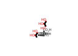 CC(=O)O.CC(=O)O.CC(=O)O.CC(=O)O.CC(=O)O.CC(O)CO.OCC(O)CO